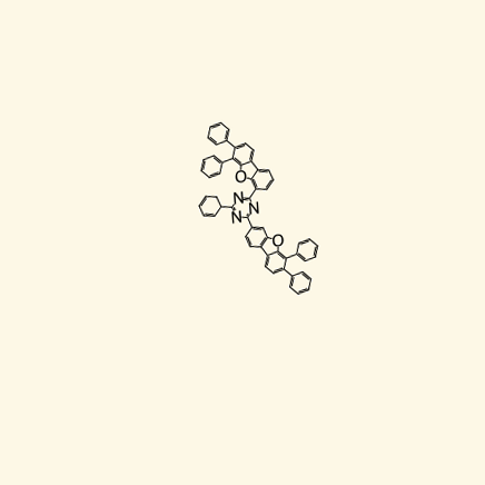 C1=CCC(c2nc(-c3ccc4c(c3)oc3c(-c5ccccc5)c(-c5ccccc5)ccc34)nc(-c3cccc4c3oc3c(-c5ccccc5)c(-c5ccccc5)ccc34)n2)C=C1